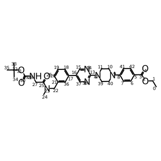 CCOC(=O)c1ccc(N2CCN(c3ncc(-c4cccc(CN(C)C(=O)CNC(=O)OC(C)(C)C)c4)cn3)CC2)cc1